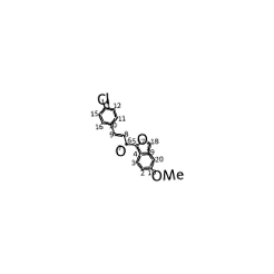 COc1ccc2c(C(=O)C=Cc3ccc(Cl)cc3)occ2c1